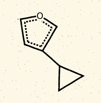 [c]1cc(C2CC2)co1